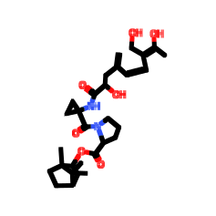 C=C(/C=C\C(CO)=C(/C)O)CC(O)C(=O)NC1(C(=O)N2CCCC2C(=O)OC2CC3CCC2(C)C3(C)C)CC1